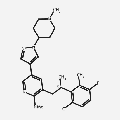 CNc1ncc(-c2cnn(C3CCN(C)CC3)c2)cc1C[C@@H](C)c1c(C)ccc(F)c1C